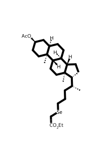 CCOC(=O)C[Se]CCC[C@@H](C)[C@H]1CC[C@H]2[C@@H]3CC[C@@H]4C[C@H](OC(C)=O)CC[C@]4(C)[C@H]3CC[C@]12C